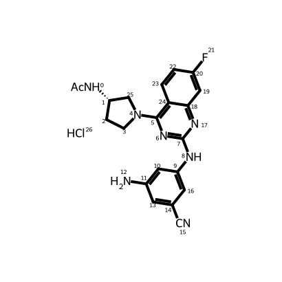 CC(=O)N[C@H]1CCN(c2nc(Nc3cc(N)cc(C#N)c3)nc3cc(F)ccc23)C1.Cl